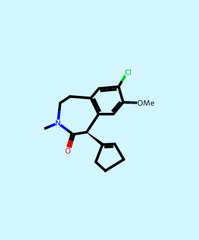 COc1cc2c(cc1Cl)CCN(C)C(=O)[C@@H]2C1=CCCC1